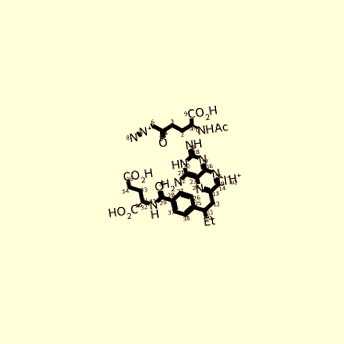 CC(=O)N[C@@H](CCC(=O)C=[N+]=[N-])C(=O)O.CCC(Cc1cnc2nc(=N)[nH]c(N)c2n1)c1ccc(C(=O)N[C@@H](CCC(=O)O)C(=O)O)cc1.[Cl-].[H+]